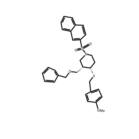 COc1ccc(CS[C@H]2CCN(S(=O)(=O)c3ccc4ccccc4c3)C[C@H]2COCc2ccccc2)cc1